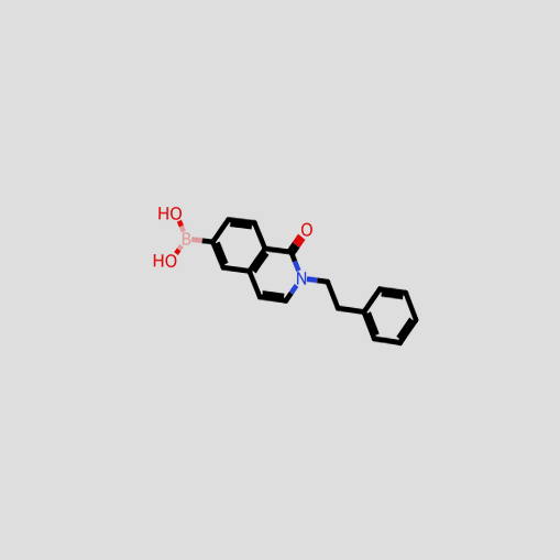 O=c1c2ccc(B(O)O)cc2ccn1CCc1ccccc1